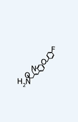 NC(=O)Cc1cnc2cc(OCc3ccc(F)cc3)ccc2c1